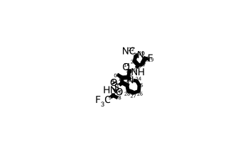 Cc1c(S(=O)(=O)NC(C)C(F)(F)F)c2n(c1C(=O)Nc1cc(F)nc(C#N)c1)CCCC=C2